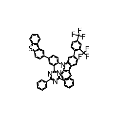 FC(F)(F)c1ccc(-c2ccc3c4ccccc4n(-c4ccc(-c5ccc6sc7ccccc7c6c5)cc4-c4nc(-c5ccccc5)nc(-c5ccccc5)n4)c3c2)c(C(F)(F)F)c1